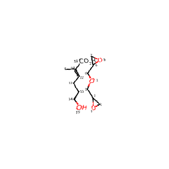 C(OCC1CO1)C1CO1.CC(=CCCCO)C(=O)O